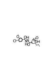 CCCCC[C@H](CN(O)C=O)C(=O)NNC(=O)c1ccc(Cl)c(OC)c1